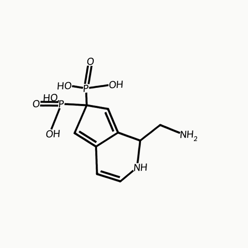 NCC1NC=CC2=CC(P(=O)(O)O)(P(=O)(O)O)C=C21